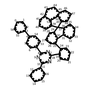 c1ccc(-c2ccc(-c3nc(-c4ccccc4)nc(-c4ccccc4-c4cccc5c4-c4ccccc4C54c5cccc6ccc7cccc4c7c56)n3)cc2)cc1